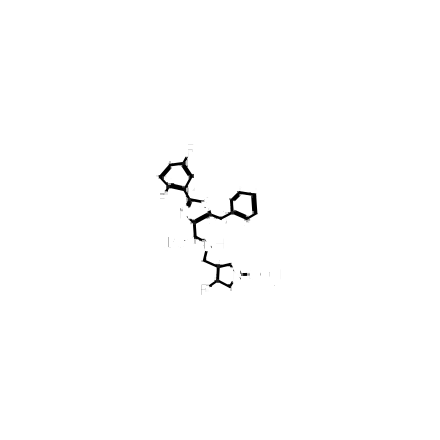 CC(C)(C)[C@@H](NCC1CN(C(=O)O)CC1F)c1nc(-c2cc(F)ccc2F)sc1Cc1ccccc1